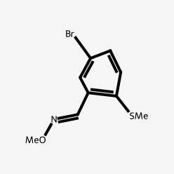 CON=Cc1cc(Br)ccc1SC